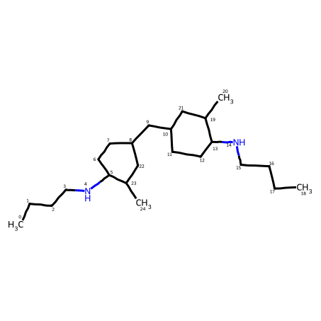 CCCCNC1CCC(CC2CCC(NCCCC)C(C)C2)CC1C